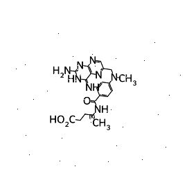 C[C@H](CCC(=O)O)NC(=O)c1ccc(N(C)Cc2cnc3nc(N)[nH]c(=N)c3n2)cc1